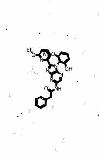 CCOC1=NC(c2nc3nc(NC(=O)Cc4ccccc4)cnc3n2-c2c(O)cccc2OC)=C=C=C1